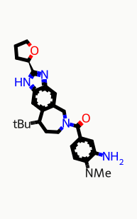 CNc1ccc(C(=O)N2CCC(C(C)(C)C)c3cc4[nH]c([C@H]5CCCO5)nc4cc3C2)cc1N